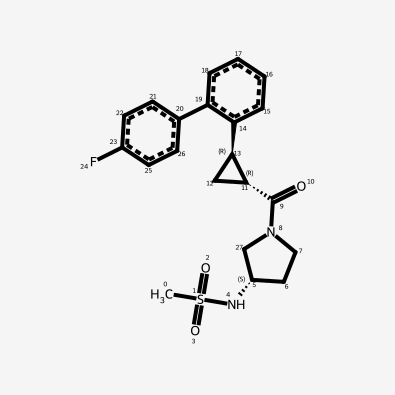 CS(=O)(=O)N[C@H]1CCN(C(=O)[C@@H]2C[C@H]2c2ccccc2-c2ccc(F)cc2)C1